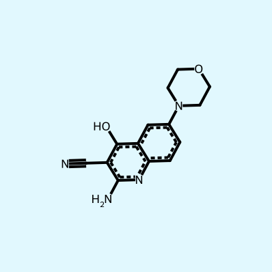 N#Cc1c(N)nc2ccc(N3CCOCC3)cc2c1O